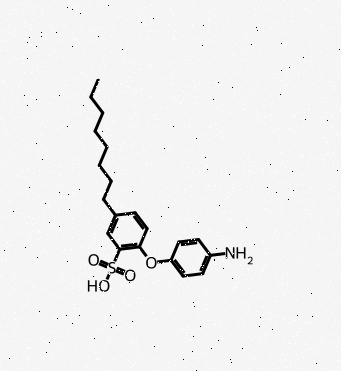 CCCCCCCCc1ccc(Oc2ccc(N)cc2)c(S(=O)(=O)O)c1